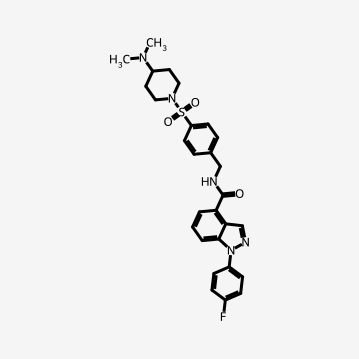 CN(C)C1CCN(S(=O)(=O)c2ccc(CNC(=O)c3cccc4c3cnn4-c3ccc(F)cc3)cc2)CC1